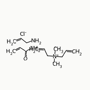 C=CC(N)=O.C=CCN.C=CC[N+](C)(C)CC=C.[Cl-]